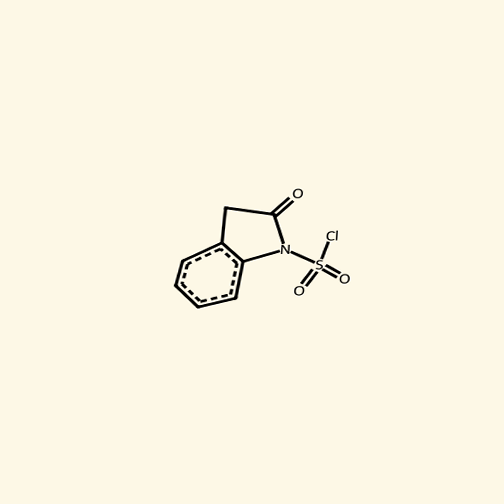 O=C1Cc2ccccc2N1S(=O)(=O)Cl